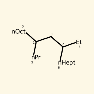 CCCCCCCCC(CCC)CC(CC)CCCCCCC